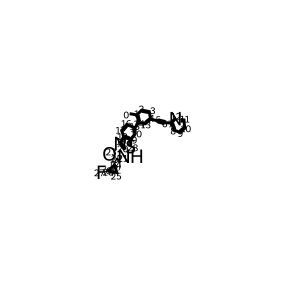 Cc1ccc(C#Cc2ccccn2)cc1-c1ccc2nc(NC(=O)[C@@H]3C[C@@H]3F)sc2c1